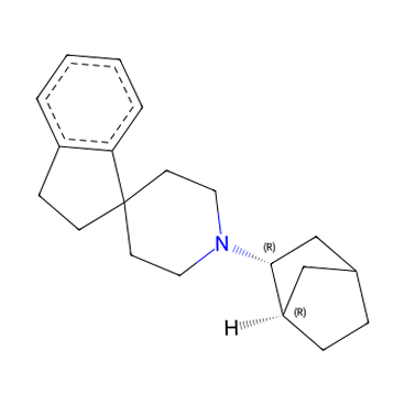 c1ccc2c(c1)CCC21CCN([C@@H]2CC3CC[C@@H]2C3)CC1